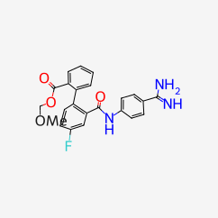 COCOC(=O)c1ccccc1-c1ccc(F)cc1C(=O)Nc1ccc(C(=N)N)cc1